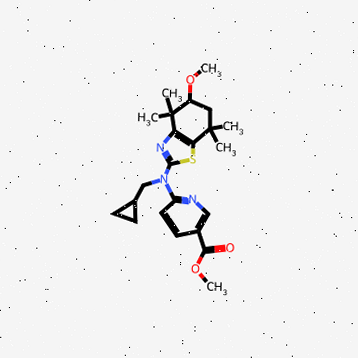 COC(=O)c1ccc(N(CC2CC2)c2nc3c(s2)C(C)(C)CC(OC)C3(C)C)nc1